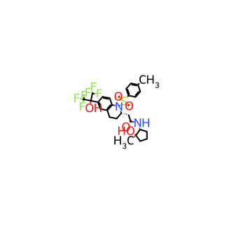 Cc1ccc(S(=O)(=O)N2c3ccc(C(O)(C(F)(F)F)C(F)(F)F)cc3CC[C@H]2CC(=O)N[C@@H]2CCC[C@@]2(C)O)cc1